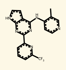 Cc1cnccc1Nc1nc(-c2cccc(C(F)(F)F)n2)nc2[nH]ccc12